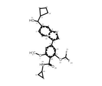 COc1cc(-c2cnc3cc(C(O)C4CCC4)ccn23)cc(OC(F)F)c1C(=O)NC1CC1